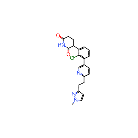 Cn1ccc(CCc2ccc(-c3cccc(C4CCC(=O)NC4=O)c3Cl)cn2)n1